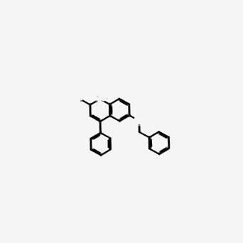 ClC1C=C(c2ccccc2)c2cc(OCc3ccccc3)ccc2N1